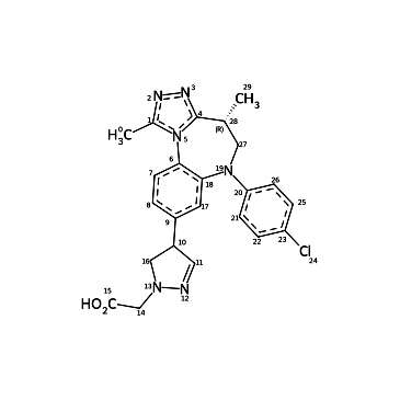 Cc1nnc2n1-c1ccc(C3C=NN(CC(=O)O)C3)cc1N(c1ccc(Cl)cc1)C[C@H]2C